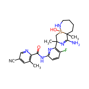 Cc1cc(C#N)cnc1C(=O)Nc1ccc(F)c(C2(C)CS3(O)NCCCCC3(C)C(N)=N2)n1